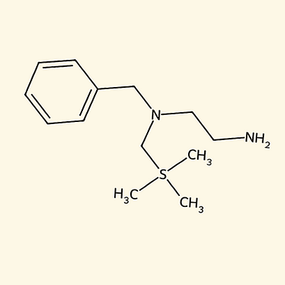 CS(C)(C)CN(CCN)Cc1ccccc1